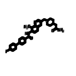 Cc1c(NC(=O)c2ccc(-c3ccc(F)cc3)cc2)ccc2cc(CN3CCC(CC(N)=O)CC3)cnc12